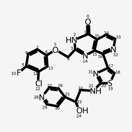 O=c1[nH]c(COc2ccc(F)c(Cl)c2)nc2c(-c3csc(NCC(O)c4ccncc4)n3)nccc12